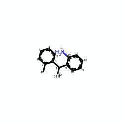 CCCC(c1ccccc1C)c1ccccc1N